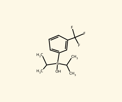 CC(C)[Si](O)(c1cccc(C(F)(F)F)c1)C(C)C